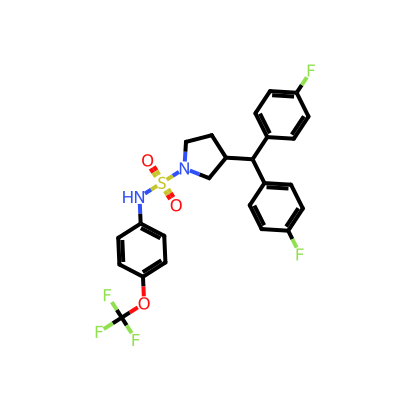 O=S(=O)(Nc1ccc(OC(F)(F)F)cc1)N1CCC(C(c2ccc(F)cc2)c2ccc(F)cc2)C1